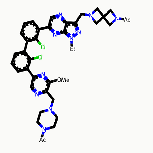 CCn1nc(CN2CC3(C2)CN(C(C)=O)C3)c2ncc(-c3cccc(-c4cccc(-c5cnc(CN6CCN(C(C)=O)CC6)c(OC)n5)c4Cl)c3Cl)nc21